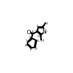 CC1=CC(C(=O)c2ccccc2)=C(C)[N]1